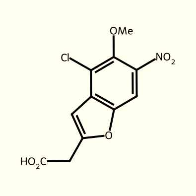 COc1c([N+](=O)[O-])cc2oc(CC(=O)O)cc2c1Cl